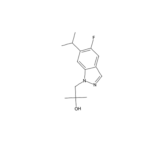 CC(C)c1cc2c(cnn2CC(C)(C)O)cc1F